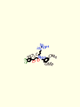 COc1cc(CNN(C(=O)CC(=O)c2ccc(Cl)c(Cl)c2)[C@@H](CCCNC(=N)N)C(=O)O)cc(OC)c1